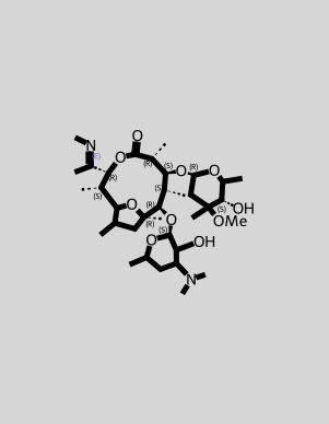 C/N=C(\C)[C@@H]1OC(=O)[C@H](C)[C@@H](O[C@H]2CC(C)(OC)[C@@H](O)C(C)O2)[C@H](C)[C@@H](O[C@@H]2OC(C)CC(N(C)C)C2O)[C@@]2(C)CC(C)C(O2)[C@@H]1C